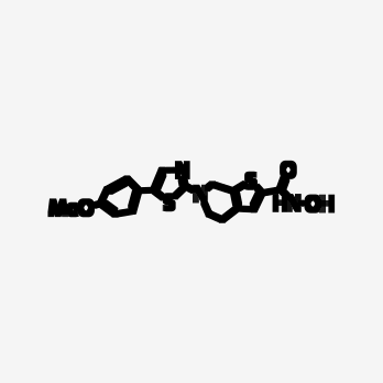 COc1ccc(-c2cnc(N3CCc4cc(C(=O)NO)sc4C3)s2)cc1